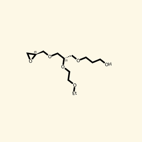 CCOCCO[C@@H](COCCCO)COC[C@@H]1CO1